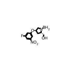 BN1C[C@H](Oc2cc(F)cc([N+](=O)[O-])c2)C[C@H]1CO